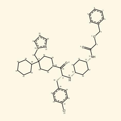 O=C(COCc1ccccc1)N[C@H]1CC[C@@H](N[C@H](Cc2ccc(Cl)cc2)C(=O)N2CCC(Cn3cncn3)(C3CCCCC3)CC2)CC1